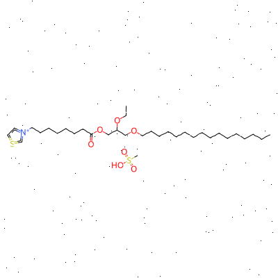 CCCCCCCCCCCCCCCCOCC(COC(=O)CCCCCCC[n+]1ccsc1)OCC.CS(=O)(=O)O